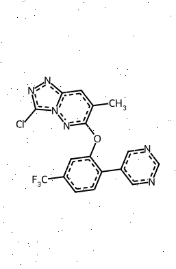 Cc1cc2nnc(Cl)n2nc1Oc1cc(C(F)(F)F)ccc1-c1cncnc1